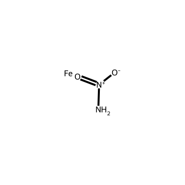 N[N+](=O)[O-].[Fe]